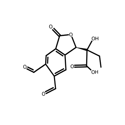 CCC(O)(C(=O)O)[C@@H]1OC(=O)c2cc(C=O)c(C=O)cc21